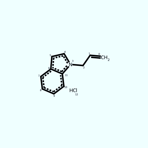 C=CCn1ccc2ccccc21.Cl